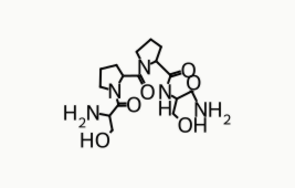 NC(=O)C(CO)NC(=O)C1CCCN1C(=O)C1CCCN1C(=O)C(N)CO